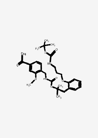 COc1cc(C(=O)O)ccc1CNC(=O)OC(C)(C)Cc1ccccc1OCCCNC(=O)OC(C)(C)C